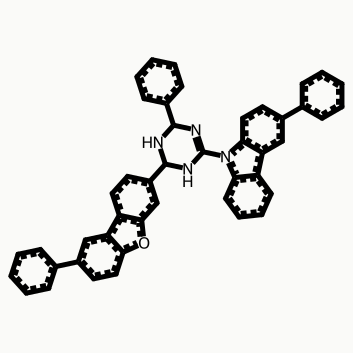 c1ccc(-c2ccc3oc4cc(C5NC(n6c7ccccc7c7cc(-c8ccccc8)ccc76)=NC(c6ccccc6)N5)ccc4c3c2)cc1